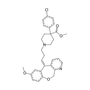 COC(=O)C1(c2ccc(Cl)cc2)CCN(CCC=C2c3cc(OC)ccc3OCc3ncccc32)CC1